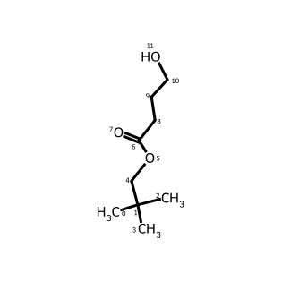 CC(C)(C)COC(=O)CCCO